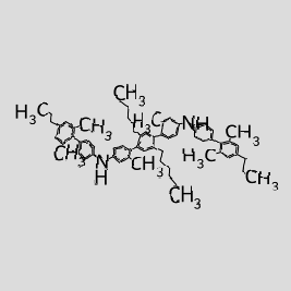 CCCCCCc1cc(-c2ccc(Nc3ccc(-c4c(C)cc(CCC)cc4C)cc3)cc2C)c(CCCCCC)cc1-c1ccc(Nc2ccc(-c3c(C)cc(CCC)cc3C)cc2)cc1C